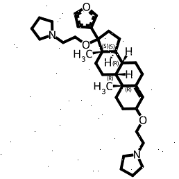 C[C@]12CCC(OCCN3CCCC3)C=C1CC[C@@H]1[C@H]2CC[C@@]2(C)[C@H]1CCC2(OCCN1CCCC1)c1ccoc1